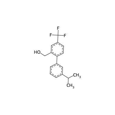 CC(C)c1cccc(-c2ccc(C(F)(F)F)cc2CO)c1